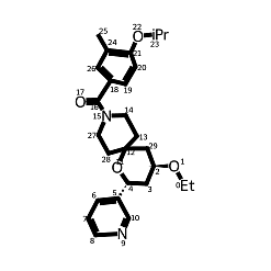 CCO[C@H]1C[C@H](c2cccnc2)OC2(CCN(C(=O)c3ccc(OC(C)C)c(C)c3)CC2)C1